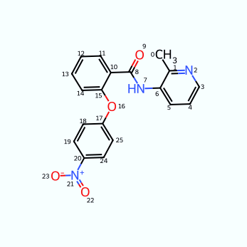 Cc1ncccc1NC(=O)c1ccccc1Oc1ccc([N+](=O)[O-])cc1